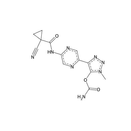 Cn1nnc(-c2cnc(NC(=O)C3(C#N)CC3)cn2)c1OC(N)=O